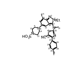 CCn1nc2c(F)cc(N3CCN(C(=O)O)CC3)cc2c1N(C)c1nc(-c2ccc(F)cc2)c(C#N)s1